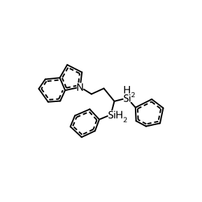 c1ccc([SiH2]C(CCn2ccc3ccccc32)[SiH2]c2ccccc2)cc1